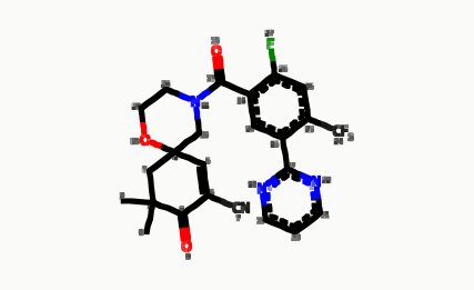 CC1(C)CC2(C=C(C#N)C1=O)CN(C(=O)c1cc(-c3ncccn3)c(C(F)(F)F)cc1F)CCO2